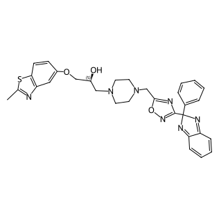 Cc1nc2cc(OC[C@@H](O)CN3CCN(Cc4nc(C5(c6ccccc6)N=c6ccccc6=N5)no4)CC3)ccc2s1